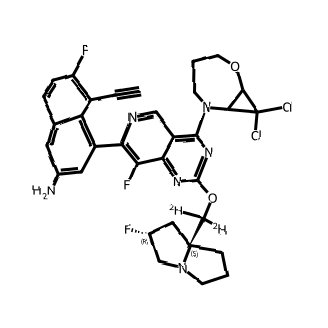 [2H]C([2H])(Oc1nc(N2CCCOC3C2C3(Cl)Cl)c2cnc(-c3cc(N)cc4ccc(F)c(C#C)c34)c(F)c2n1)[C@@]12CCCN1C[C@H](F)C2